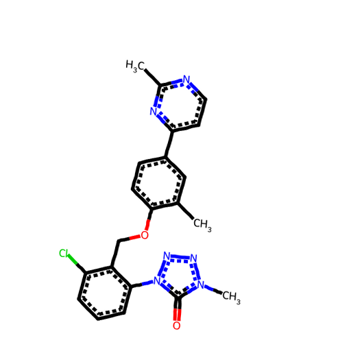 Cc1nccc(-c2ccc(OCc3c(Cl)cccc3-n3nnn(C)c3=O)c(C)c2)n1